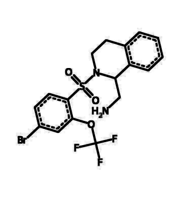 NCC1c2ccccc2CCN1S(=O)(=O)c1ccc(Br)cc1OC(F)(F)F